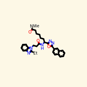 CCc1nc2ccccc2n1CCC(=O)NC(CCCCCC(=O)NC)c1nnc(-c2ccc3ccccc3c2)o1